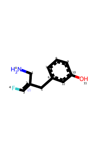 NC/C(=C\F)Cc1cccc(O)c1